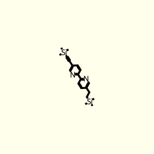 C[Si](C)(C)C#Cc1ccc(-c2ccc(CC[Si](C)(C)C)cn2)nc1